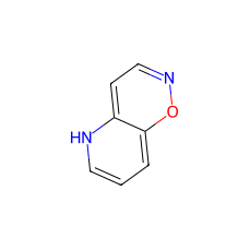 C1=CNC2=CC=NOC2=C1